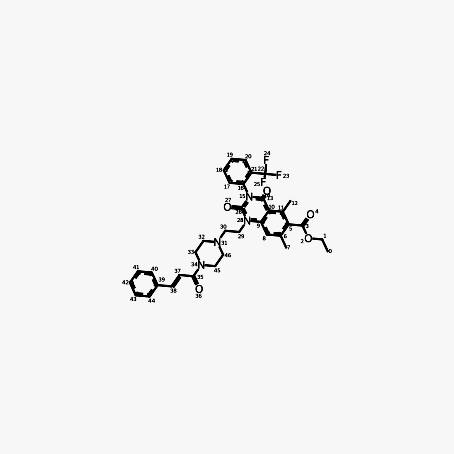 CCOC(=O)c1c(C)cc2c(c1C)c(=O)n(-c1ccccc1C(F)(F)F)c(=O)n2CCN1CCN(C(=O)C=Cc2ccccc2)CC1